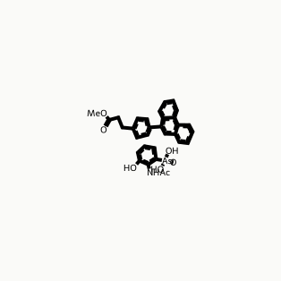 CC(=O)Nc1c(O)cccc1[As](=O)(O)O.COC(=O)CCc1ccc(-c2cc3ccccc3c3ccccc23)cc1